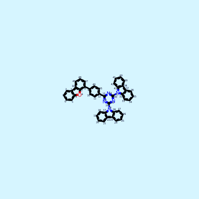 c1ccc2c(c1)oc1c(-c3ccc(-c4nc(-n5c6ccccc6c6ccccc65)nc(-n5c6ccccc6c6ccccc65)n4)cc3)cccc12